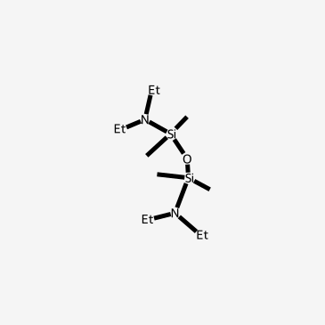 CCN(CC)[Si](C)(C)O[Si](C)(C)N(CC)CC